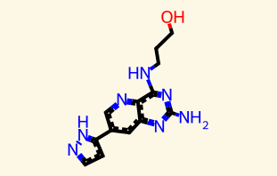 Nc1nc(NCCCO)c2ncc(-c3ccn[nH]3)cc2n1